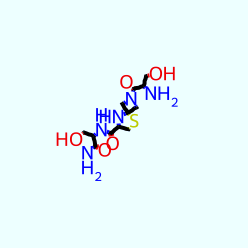 NC(=O)C(CO)NC(=O)C1CSC2(CN(C(=O)C(N)CO)C2)N1